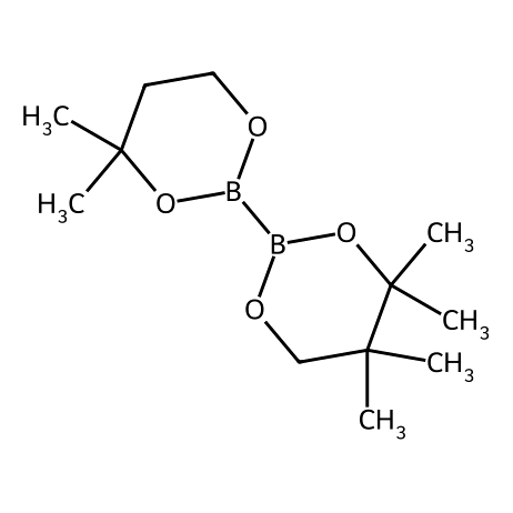 CC1(C)CCOB(B2OCC(C)(C)C(C)(C)O2)O1